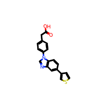 O=C(O)Cc1ccc(-n2cnc3cc(-c4ccsc4)ccc32)cc1